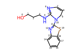 OCCCNC1=NC=C[CH]N1c1nc2ccccc2s1